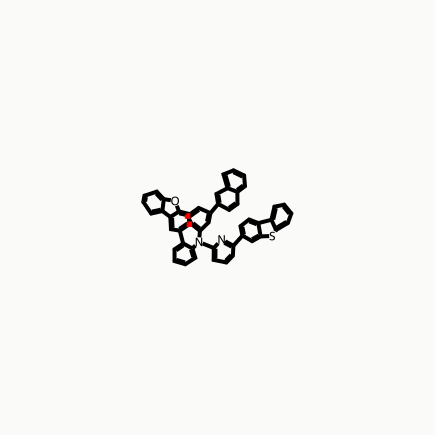 c1cc(-c2ccc3ccccc3c2)cc(N(c2cccc(-c3ccc4c(c3)sc3ccccc34)n2)c2ccccc2-c2ccc3oc4ccccc4c3c2)c1